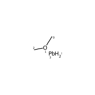 COC.[PbH2]